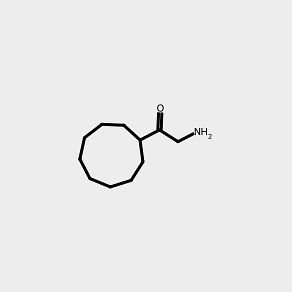 NCC(=O)C1CCCCCCCC1